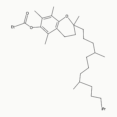 CCC(=O)Oc1c(C)c(C)c2c(c1C)CCC(C)(CCCC(C)CCCC(C)CCCC(C)C)O2